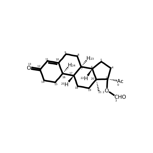 CC(=O)[C@@]1(OC=O)CC[C@H]2[C@@H]3CCC4=CC(=O)CC[C@@H]4[C@H]3CC[C@@]21C